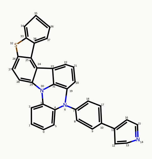 c1ccc2c(c1)N(c1ccc(-c3ccncc3)cc1)c1cccc3c4c5c(ccc4n-2c13)sc1ccccc15